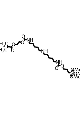 C=C(C)C(=O)OCCOC(=O)NCCCCCNCCCCCNC(=O)OCCC[Si](OC)(OC)OC